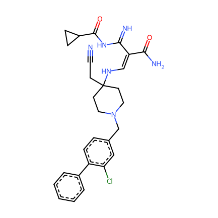 N#CCC1(N/C=C(\C(=N)NC(=O)C2CC2)C(N)=O)CCN(Cc2ccc(-c3ccccc3)c(Cl)c2)CC1